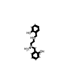 CN(CCNCc1ccccc1O)Cc1ccccc1O